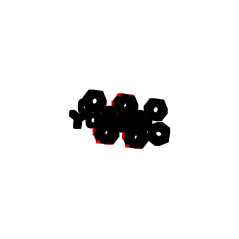 C=C(C)C(=O)O[Si](O[Si](O[Si](O[Si](c1ccccc1)(c1ccccc1)c1ccccc1)(c1ccccc1)c1ccccc1)(c1ccccc1)c1ccccc1)(c1ccccc1)c1ccccc1